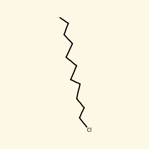 [CH2]CCCCCCCCCCCl